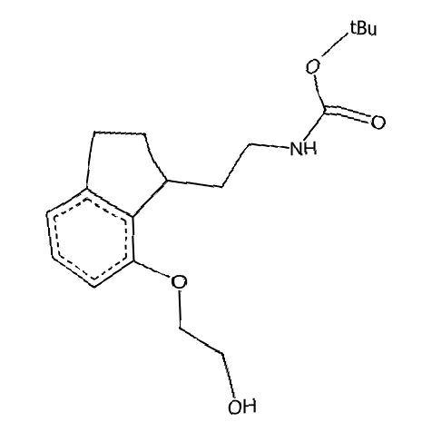 CC(C)(C)OC(=O)NCCC1CCc2cccc(OCCO)c21